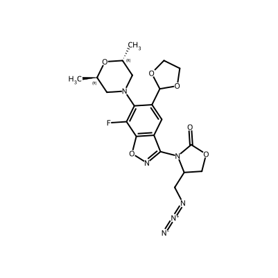 C[C@@H]1CN(c2c(C3OCCO3)cc3c(N4C(=O)OCC4CN=[N+]=[N-])noc3c2F)C[C@@H](C)O1